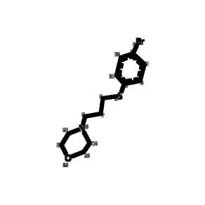 Brc1ccc(SCCCN2CCOCC2)cc1